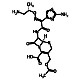 CC(=O)OCC1=C(C(=O)O)N2C(=O)[C@@H](NC(=O)C(=NO[C@@H](C)CN)c3csc(N)n3)[C@H]2SC1